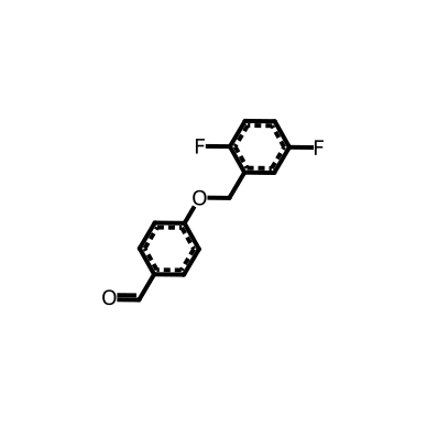 O=Cc1ccc(OCc2cc(F)ccc2F)cc1